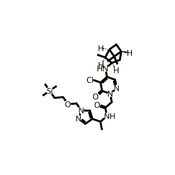 CC(NC(=O)Cn1ncc(N[C@@H]2C[C@H]3C[C@H]([C@@H]2C)C3(C)C)c(Cl)c1=O)c1cnn(COCC[Si](C)(C)C)c1